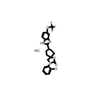 Cl.O=C1OC2(CCC(c3nc4cc(OC(F)(F)F)ccc4[nH]3)CC2)CN1c1ccccc1Cl